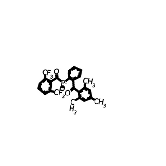 Cc1cc(C)c(C(=O)c2ccccc2[P](=O)C(=O)c2c(C(F)(F)F)cccc2C(F)(F)F)c(C)c1